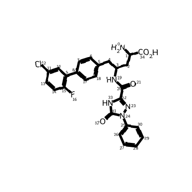 NC(CC(Cc1ccc(-c2cc(Cl)ccc2F)cc1)NC(=O)c1nn(-c2ccccc2)c(=O)[nH]1)C(=O)O